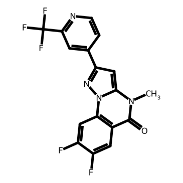 Cn1c(=O)c2cc(F)c(F)cc2n2nc(-c3ccnc(C(F)(F)F)c3)cc12